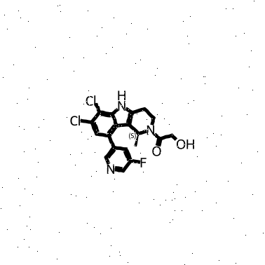 C[C@H]1c2c([nH]c3c(Cl)c(Cl)cc(-c4cncc(F)c4)c23)CCN1C(=O)CO